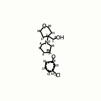 OCC1(N2CCC[C@@H](Oc3cccc(Cl)c3)C2)CCOCC1